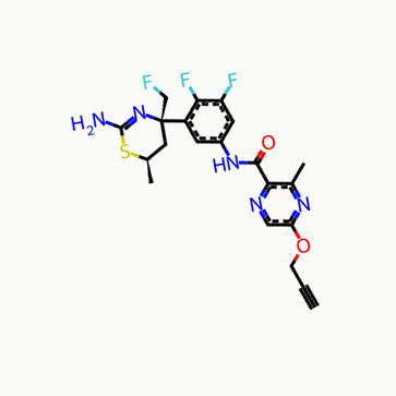 C#CCOc1cnc(C(=O)Nc2cc(F)c(F)c([C@]3(CF)C[C@@H](C)SC(N)=N3)c2)c(C)n1